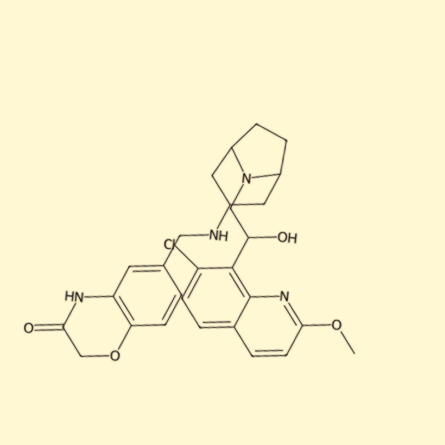 COc1ccc2ccc(Cl)c(C(O)CN3C4CCC3CC(NCc3ccc5c(c3)NC(=O)CO5)C4)c2n1